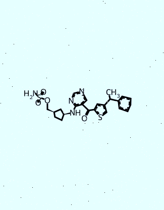 CC(c1ccccc1)c1csc(C(=O)c2cncnc2N[C@H]2CC[C@@H](COS(N)(=O)=O)C2)c1